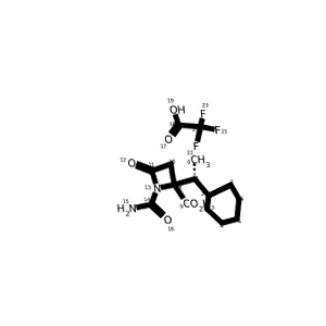 C[C@H](C1CCCCC1)C1(C(=O)O)CC(=O)N1C(N)=O.O=C(O)C(F)(F)F